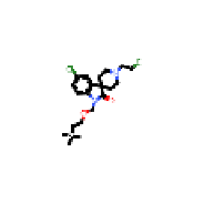 C[Si](C)(C)CCOCN1C(=O)C2(CCN(CCCl)CC2)c2cc(Cl)ccc21